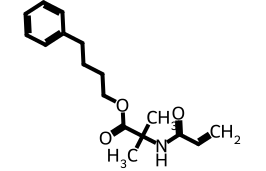 C=CC(=O)NC(C)(C)C(=O)OCCCCc1ccccc1